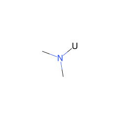 C[N](C)[U]